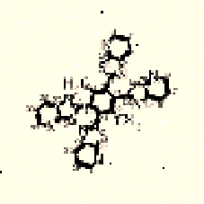 Cc1c(-c2nc3cccnc3s2)c(-c2nc3cccnc3s2)c(C)c(-c2nc3cccnc3s2)c1-c1nc2cccnc2s1